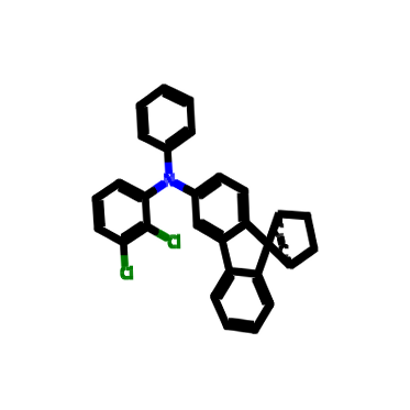 Clc1cccc(N(c2ccccc2)c2ccc3c(c2)-c2ccccc2C32C3CCC2CC3)c1Cl